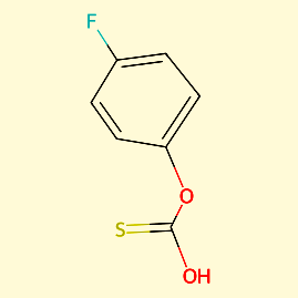 OC(=S)Oc1ccc(F)cc1